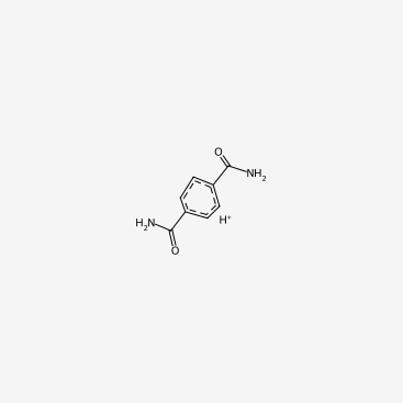 NC(=O)c1ccc(C(N)=O)cc1.[H+]